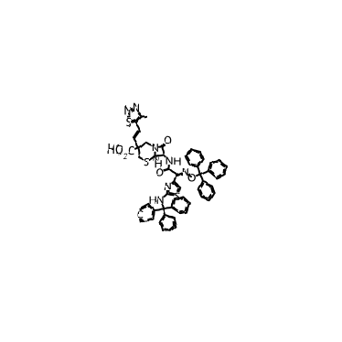 Cc1nnsc1C=CC1(C(=O)O)CS[C@@H]2C(NC(=O)C(=NOC(c3ccccc3)(c3ccccc3)c3ccccc3)c3csc(NC(c4ccccc4)(c4ccccc4)c4ccccc4)n3)C(=O)N2C1